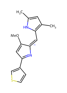 COC1=CC(c2ccsc2)=N/C1=C/c1[nH]c(C)cc1C